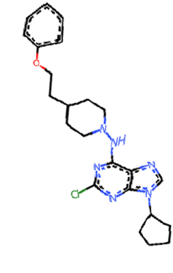 Clc1nc(NN2CCC(CCOc3ccccc3)CC2)c2ncn(C3CCCC3)c2n1